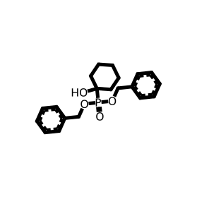 O=P(OCc1ccccc1)(OCc1ccccc1)C1(O)CCCCC1